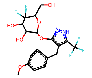 COc1ccc(Cc2c(OC3OC(CO)C(F)(F)C(O)C3O)n[nH]c2C(F)(F)F)cc1